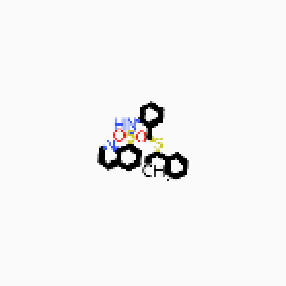 C=CC(SCc1ccccc1NS(=O)(=O)c1cccc2cccnc12)c1ccccc1